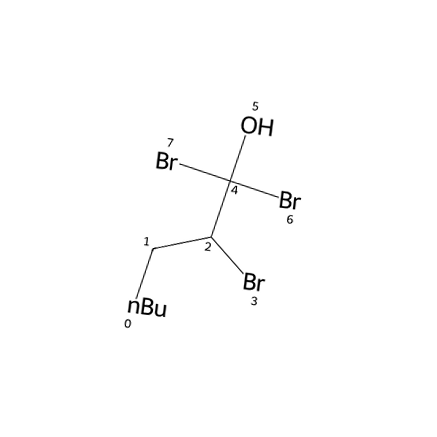 CCCCCC(Br)C(O)(Br)Br